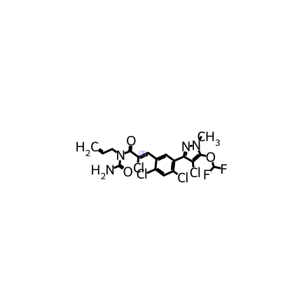 C=CCN(C(N)=O)C(=O)/C(Cl)=C/c1cc(-c2nn(C)c(OC(F)F)c2Cl)c(Cl)cc1Cl